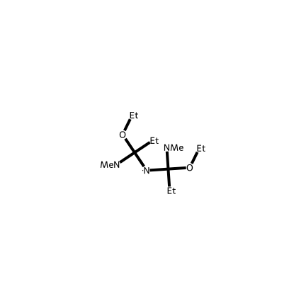 CCOC(CC)([N]C(CC)(NC)OCC)NC